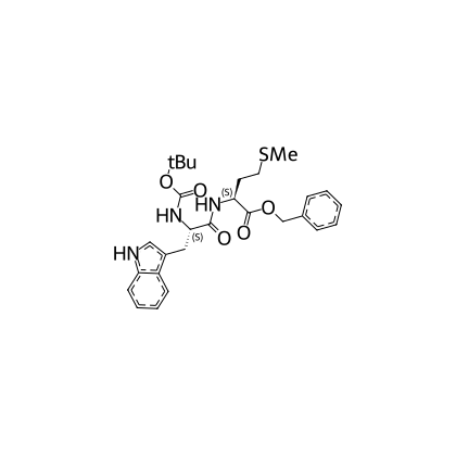 CSCC[C@H](NC(=O)[C@H](Cc1c[nH]c2ccccc12)NC(=O)OC(C)(C)C)C(=O)OCc1ccccc1